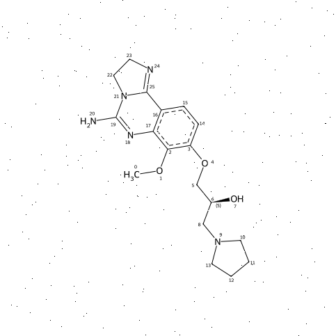 COc1c(OC[C@@H](O)CN2CCCC2)ccc2c1N=C(N)N1CCN=C21